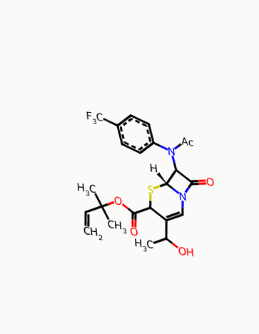 C=CC(C)(C)OC(=O)C1S[C@@H]2C(N(C(C)=O)c3ccc(C(F)(F)F)cc3)C(=O)N2C=C1C(C)O